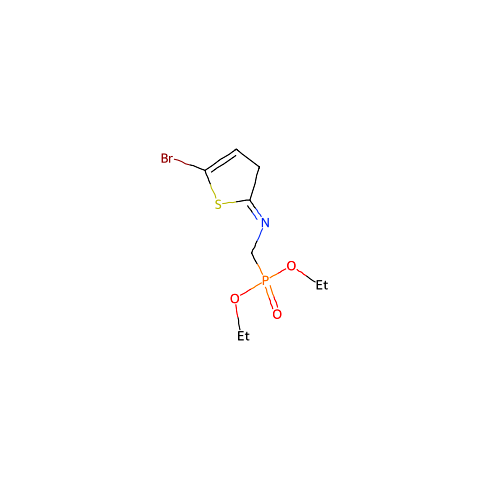 CCOP(=O)(C/N=C1/CC=C(Br)S1)OCC